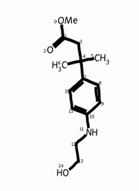 COC(=O)CC(C)(C)c1ccc(NCCO)cc1